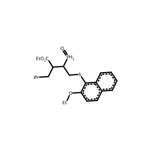 CCOC(=O)C(CC(C)C)C(CSc1c(OCC)ccc2ccccc12)[PH2]=O